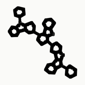 c1ccc(-n2c3ccccc3c3cc(-c4ccc(-c5ccc6oc7c(c6c5)c5ccccc5n7-c5ccccc5)c5oc6ccccc6c45)ccc32)cc1